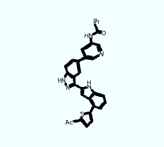 CC(=O)c1ccc(-c2cccc3[nH]c(-c4n[nH]c5ccc(-c6cncc(NC(=O)C(C)C)c6)cc45)cc23)s1